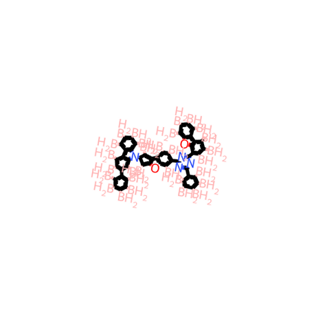 BC1=c2oc3c(B)c(-c4nc(-c5c(B)c(B)c(B)c(B)c5B)nc(-c5c(B)c(B)c(B)c6c5oc5c(B)c(B)c(B)c(B)c56)n4)c(B)c(B)c3c2=C(B)C1n1c2c(B)c(B)c(B)c(B)c2c2c(B)c(B)c(-c3c(B)c(B)c(B)c(B)c3B)c(B)c21